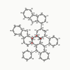 c1ccc(-c2c3ccccc3c(-c3ccccc3-c3nc(-c4cccc5c4sc4ccccc45)cc(-c4cccc5c4sc4ccccc45)n3)c3ccccc23)cc1